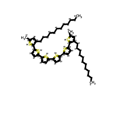 CCCCCCCCCCCCc1cc(C)sc1-c1ccc(-c2ccc(-c3ccc(-c4ccc(-c5sc(C)cc5CCCCCCCCCCCC)s4)s3)s2)s1